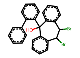 OC1(c2ccccc2-c2ccccc2)c2ccccc2C(Br)C(Br)c2ccccc21